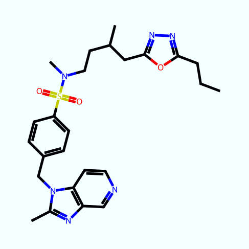 CCCc1nnc(CC(C)CCN(C)S(=O)(=O)c2ccc(Cn3c(C)nc4cnccc43)cc2)o1